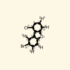 [2H]c1cc(Cl)c2c(oc3c([2H])c([2H])c(Br)c([2H])c32)c1[2H]